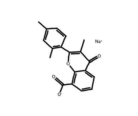 Cc1ccc(-c2oc3c(C(=O)[O-])cccc3c(=O)c2C)c(C)c1.[Na+]